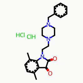 Cc1ccc(C)c2c1C(=O)C(=O)N2CCN1CCN(Cc2ccccc2)CC1.Cl.Cl